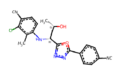 [C-]#[N+]c1ccc(-c2nnc([C@H](Nc3ccc([N+]#[C-])c(Cl)c3C)[C@H](C)O)o2)cc1